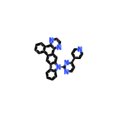 c1ccc2c(c1)c1cc3c4ccccc4n(-c4nccc(-c5ccncc5)n4)c3cc1c1nccnc21